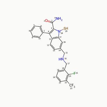 NC(=O)c1c(-c2ccccc2)c2ccc(CNCc3cccc(C(F)(F)F)c3F)cc2n1S